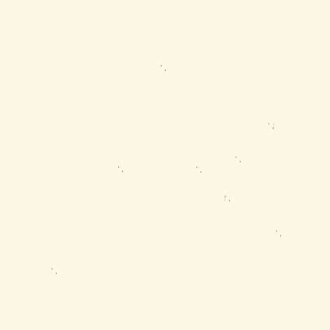 c1ccc(N2c3cccc4c(-c5ccccn5)ccc(c34)-c3ccc4c(c32)c2cc(-c3ccccn3)ccc2n4-c2nc(-c3ccccn3)cc(-c3ccccn3)n2)cc1